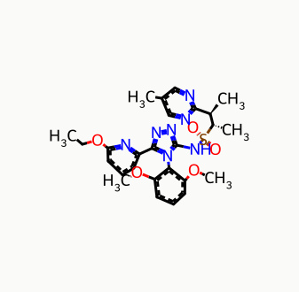 CCOc1cccc(-c2nnc(NS(=O)(=O)[C@@H](C)[C@H](C)c3ncc(C)cn3)n2-c2c(OC)cccc2OC)n1